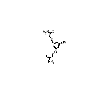 [CH2]CCc1cc(OCCC(N)=O)cc(OCCC(N)=O)c1